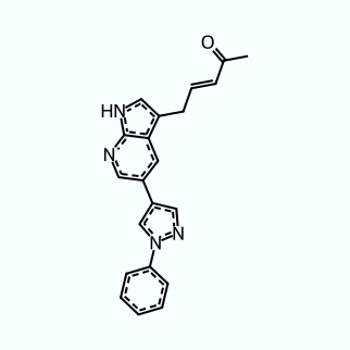 CC(=O)C=CCc1c[nH]c2ncc(-c3cnn(-c4ccccc4)c3)cc12